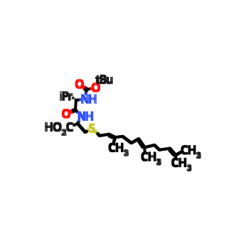 CC(C)=CCC/C(C)=C/CC/C(C)=C/CSC[C@H](NC(=O)[C@@H](NC(=O)OC(C)(C)C)C(C)C)C(=O)O